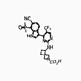 CP(C)(=O)c1c(C#N)ccc2c(-c3nc(NC4CCC45CN(C(=O)O)C5)ncc3C(F)(F)F)c[nH]c12